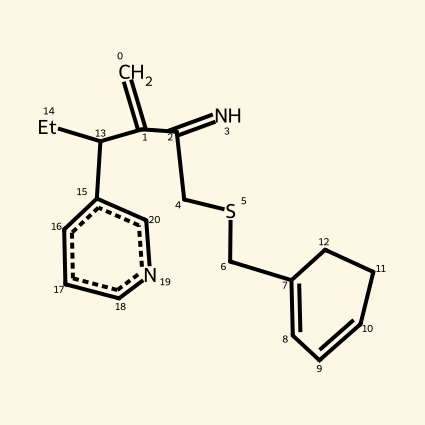 C=C(C(=N)CSCC1=CC=CCC1)C(CC)c1cccnc1